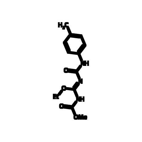 CCOC(=NC(=O)Nc1ccc(C)cc1)NC(=O)OC